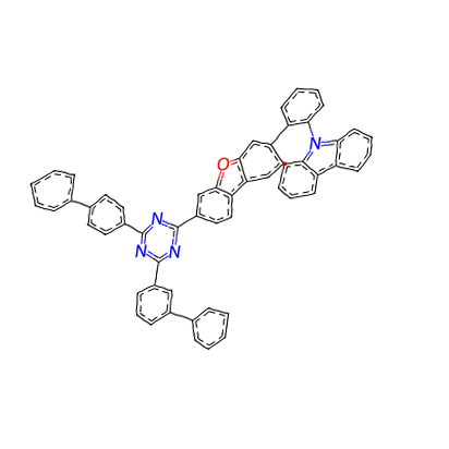 c1ccc(-c2ccc(-c3nc(-c4cccc(-c5ccccc5)c4)nc(-c4ccc5c(c4)oc4cc(-c6ccccc6-n6c7ccccc7c7ccccc76)ccc45)n3)cc2)cc1